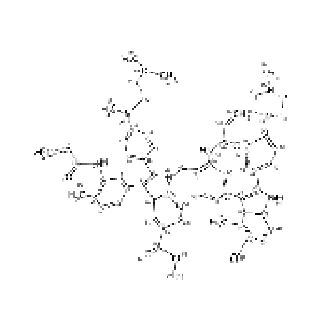 C=CC(=O)Nc1cc(-c2c(-c3ccc(N(C)CCN(C)C)cc3)n(Cc3ccc(-c4c(-c5ccc(N6CCN(C)CC6)cc5)[nH]c5ncc(Cl)c(C)c45)cc3NC(=O)C=C)c3ncc(C(=O)OC(C)C)cc23)ccc1C